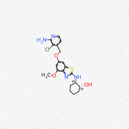 COc1cc(OCc2ccnc(N)c2Cl)cc2sc(N[C@@H]3CCCC[C@H]3O)nc12